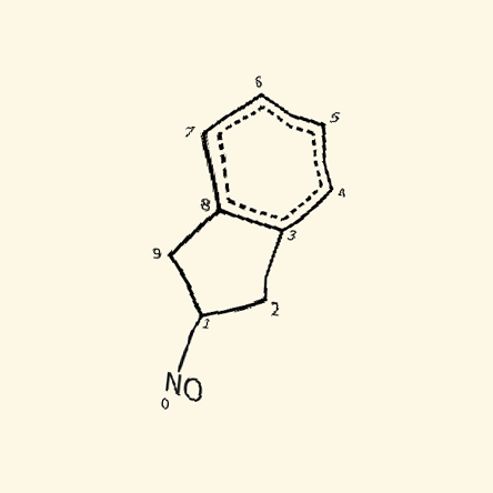 O=NC1Cc2ccccc2C1